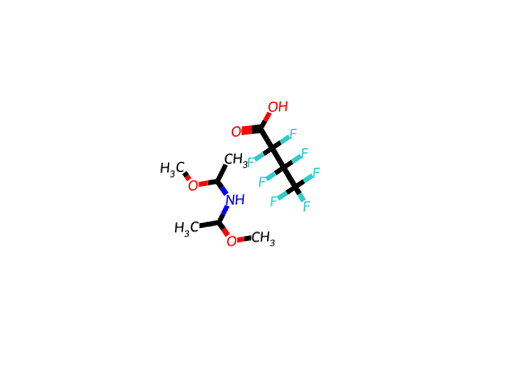 COC(C)NC(C)OC.O=C(O)C(F)(F)C(F)(F)C(F)(F)F